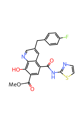 COC(=O)c1cc(C(=O)Nc2nccs2)c2cc(Cc3ccc(F)cc3)cnc2c1O